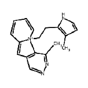 Cc1cc[nH]c1CC[N+]12C=CC=CC1=Cc1cnnc(C)c12